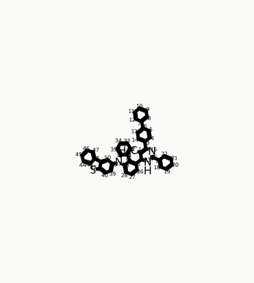 CC1=C(c2ccc(-c3ccccc3)cc2)N=C(c2ccccc2)NC1c1cccc2c1c1ccccc1n2-c1ccc2sc3ccccc3c2c1